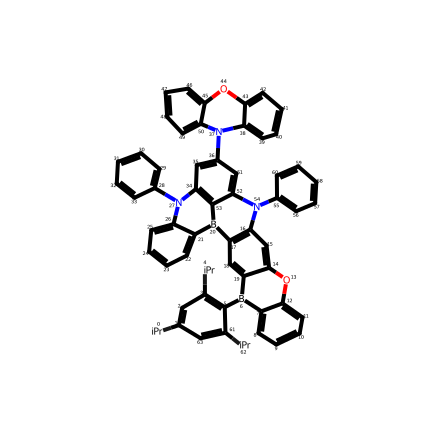 CC(C)c1cc(C(C)C)c(B2c3ccccc3Oc3cc4c(cc32)B2c3ccccc3N(c3ccccc3)c3cc(N5c6ccccc6Oc6ccccc65)cc(c32)N4c2ccccc2)c(C(C)C)c1